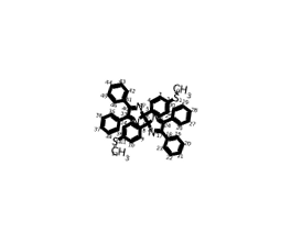 CSc1ccc(C2(C3(c4ccc(SC)cc4)N=C(c4ccccc4)C(c4ccccc4)=N3)N=C(c3ccccc3)C(c3ccccc3)=N2)cc1